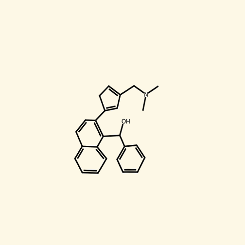 CN(C)CC1=CCC(c2ccc3ccccc3c2C(O)c2ccccc2)=C1